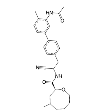 CC(=O)Nc1cc(-c2ccc(CC(C#N)NC(=O)[C@@H]3CC(C)CCCCO3)cc2)ccc1C